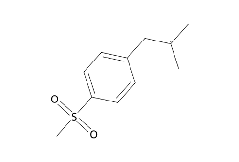 C[C](C)Cc1ccc(S(C)(=O)=O)cc1